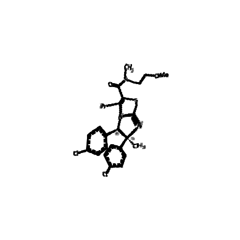 COCCN(C)C(=O)C1=C(C(C)C)N2C(=N[C@@](C)(c3ccc(Cl)cc3)[C@H]2c2ccc(Cl)cc2)S1